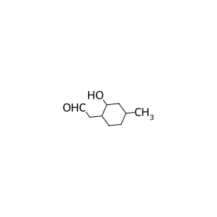 CC1CCC(CC=O)C(O)C1